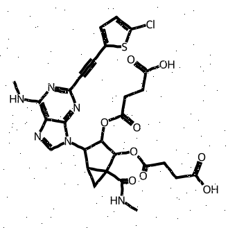 CNC(=O)C12CC1C(n1cnc3c(NC)nc(C#Cc4ccc(Cl)s4)nc31)C(OC(=O)CCC(=O)O)C2OC(=O)CCC(=O)O